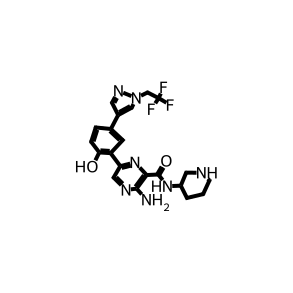 Nc1ncc(-c2cc(-c3cnn(CC(F)(F)F)c3)ccc2O)nc1C(=O)NC1CCCNC1